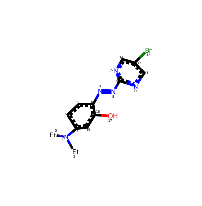 CCN(CC)c1ccc(N=Nc2ncc(Br)cn2)c(O)c1